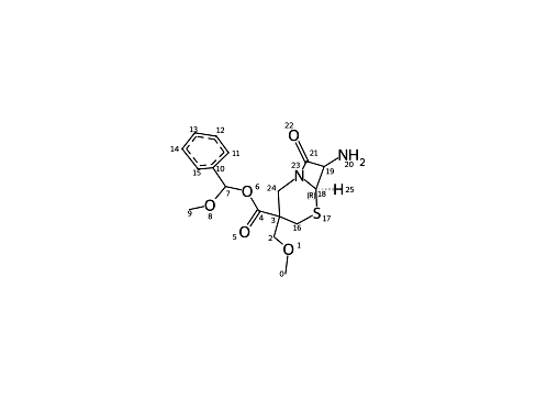 COCC1(C(=O)OC(OC)c2ccccc2)CS[C@@H]2C(N)C(=O)N2C1